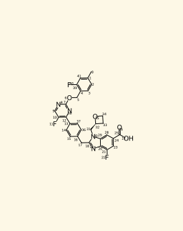 Cc1ccc(COc2ncc(F)c(-c3ccc(Cc4nc5c(F)cc(C(=O)O)cc5n4C[C@@H]4CCO4)cc3)n2)c(F)c1